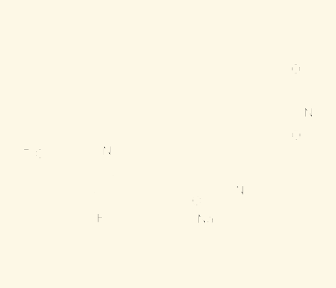 [Na+].[O-]c1cc(-c2ccc(OC3CC(c4ncc(C(F)(F)F)cc4F)C3)nc2)on1